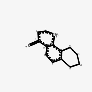 S=c1cc[nH]c2c3c(ccc12)CCCC3